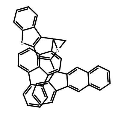 c1ccc2c(c1)-c1cccc3c(C45CN4C(n4c6ccccc6c6cc7ccccc7cc64)=Nc4sc6ccccc6c45)ccc-2c13